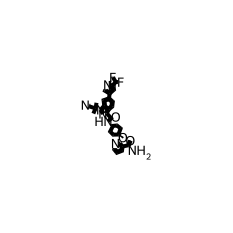 CC(C)(C#N)n1nc(C(=O)N[C@H]2CC[C@H](Oc3ncccc3C(N)=O)CC2)c2ccc(-c3cnn(C(F)F)c3)cc21